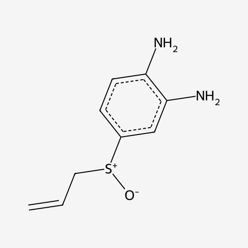 C=CC[S+]([O-])c1ccc(N)c(N)c1